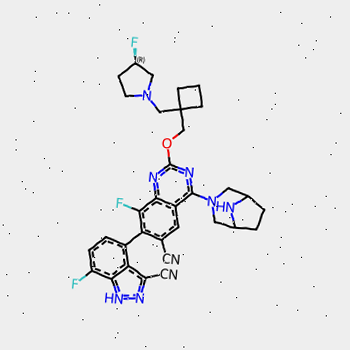 N#Cc1cc2c(N3CC4CCC(C3)N4)nc(OCC3(CN4CC[C@@H](F)C4)CCC3)nc2c(F)c1-c1ccc(F)c2[nH]nc(C#N)c12